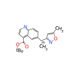 Cc1cc([C@H](C)c2ccc3nccc(C(=O)OC(C)(C)C)c3c2)no1